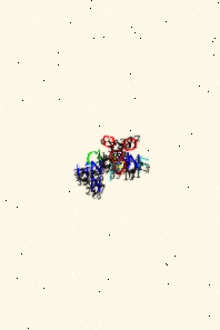 COc1ccc(CN(c2cccc(F)n2)S(=O)(=O)c2cc(Cl)c(N[C@H](CN3CCCC3)c3ccccc3)cc2F)c(OC)c1